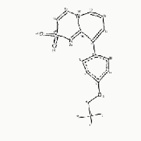 CC(C)(C)COc1ccc(C2=CC=CN3C=CS(=O)(=O)N=C23)cc1